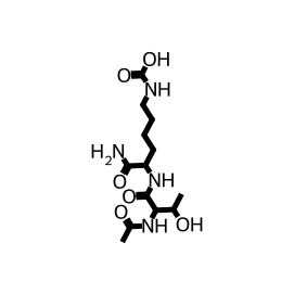 CC(=O)NC(C(=O)NC(CCCCNC(=O)O)C(N)=O)C(C)O